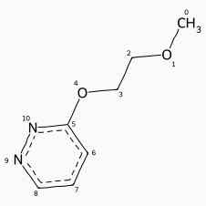 COCCOc1cccnn1